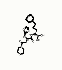 O=C(N[C@@H](CCCc1ccccc1)B(O)O)[C@@H](CC(=O)N1CCOCC1)Nc1ncco1